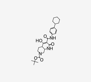 CC(C)(C)OC(=O)N1CCC2C(O)=C(C(=O)Nc3ccc(C4CCCCC4)cc3)C(=O)NC2C1